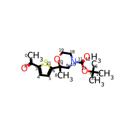 CC(=O)c1ccc(C2(C)CN(C(=O)OC(C)(C)C)CCO2)s1